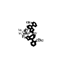 CC(C)C1=Cc2c(-c3ccccc3C(C)(C)C)cccc2[CH]1[Hf]([CH]1C(C(C)C)=Cc2c(-c3ccccc3C(C)(C)C)cccc21)[SiH](C)C